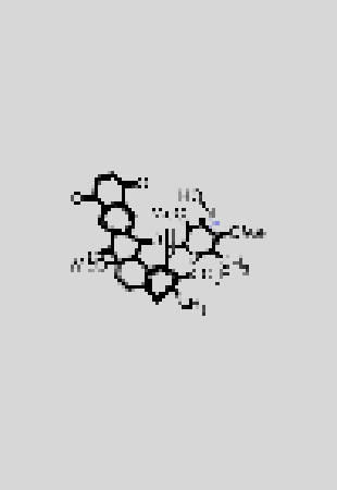 COC1/C(=N/O)C(OC)C(Nc2c(C(=O)O)c(C)cc3c2C2C(=O)c4cc5c(cc4C(=O)C2(OC)CC3)C(=O)C=CC5=O)OC1C